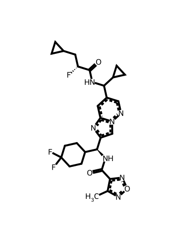 Cc1nonc1C(=O)N[C@H](c1cn2ncc(C(NC(=O)[C@H](F)CC3CC3)C3CC3)cc2n1)C1CCC(F)(F)CC1